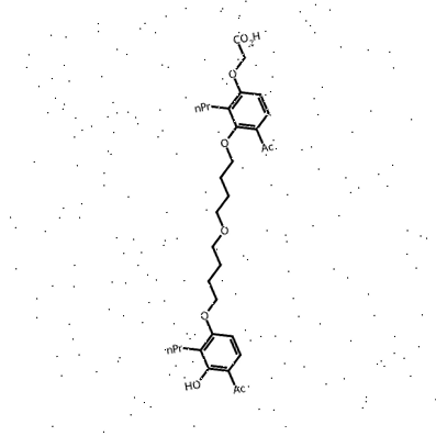 CCCc1c(OCCCCOCCCCOc2c(C(C)=O)ccc(OCC(=O)O)c2CCC)ccc(C(C)=O)c1O